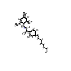 CCCCCCCSc1ccc(C(=O)/C=C/c2c(Br)cc(Br)cc2Br)cc1